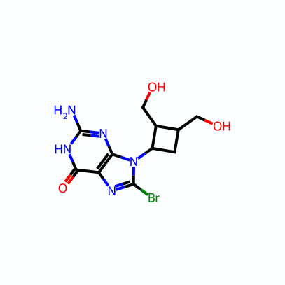 Nc1nc2c(nc(Br)n2C2CC(CO)C2CO)c(=O)[nH]1